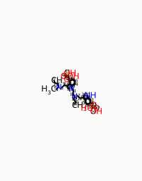 CCCN(CC)CCc1cn(CCN(CCC)CCc2c[nH]c3cc(OP(=O)(O)O)ccc23)c2cccc(OP(=O)(O)O)c12